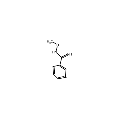 CONC(=N)c1c[c]ccc1